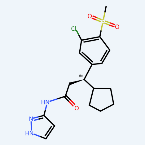 CS(=O)(=O)c1ccc([C@H](CC(=O)Nc2cc[nH]n2)C2CCCC2)cc1Cl